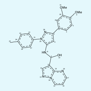 COc1ccc(-c2cc(NC(O)c3cnn4cccnc34)n(-c3ccc(C)cc3)n2)cc1OC